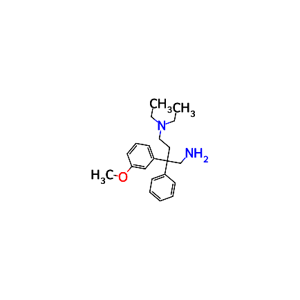 CCN(CC)CCC(CN)(c1ccccc1)c1cccc(OC)c1